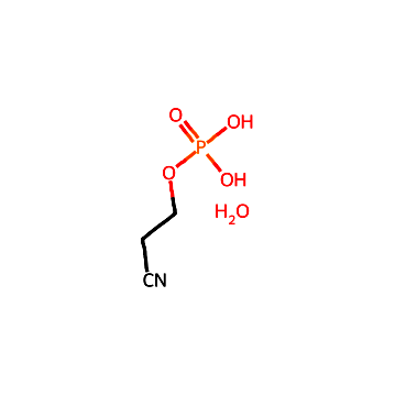 N#CCCOP(=O)(O)O.O